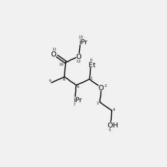 CCC(OCCO)C(C(C)C)C(C)C(=O)OC(C)C